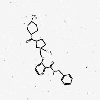 CC1(COc2cccnc2C(=O)NCc2ccccc2)CCN(C(=O)[C@H]2CC[C@H](C(F)(F)F)CC2)C1